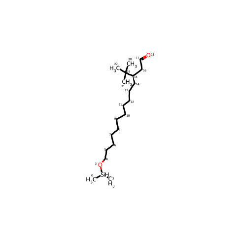 C[SiH](C)OCCCCCCCCCCC[C@H](CC=O)C(C)(C)C